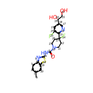 Cc1ccc2nc(NC(=O)N3CCC(F)(c4ncc([C@H](O)CO)cc4F)CC3)sc2c1